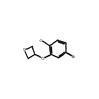 Clc1ccc(Br)cc1OC1COC1